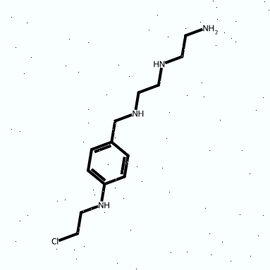 NCCNCCNCc1ccc(NCCCl)cc1